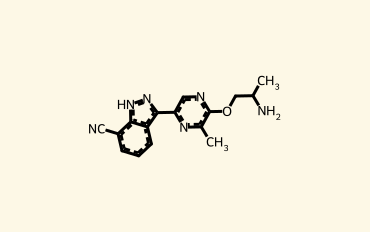 Cc1nc(-c2n[nH]c3c(C#N)cccc23)cnc1OCC(C)N